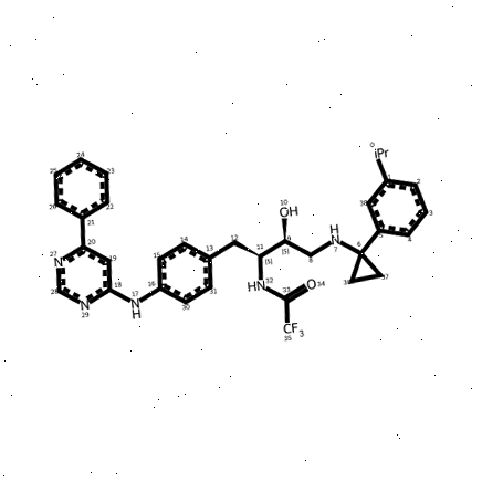 CC(C)c1cccc(C2(NC[C@H](O)[C@H](Cc3ccc(Nc4cc(-c5ccccc5)ncn4)cc3)NC(=O)C(F)(F)F)CC2)c1